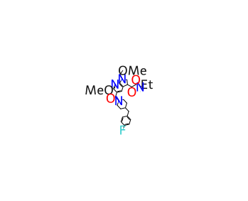 CCN(C)C(=O)C(=O)C1CN(COC)c2nc(OC)c(C(=O)N3CCC(Cc4ccc(F)cc4)CC3)cc21